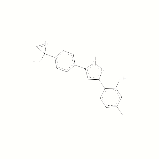 Oc1cc(I)ccc1-c1cc(-c2ccc(C3(C(F)(F)F)C=N3)cc2)[nH]n1